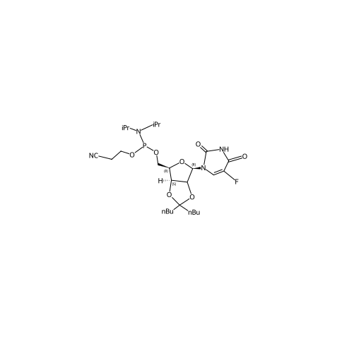 CCCCC1(CCCC)OC2[C@@H](O1)[C@@H](COP(OCCC#N)N(C(C)C)C(C)C)O[C@H]2n1cc(F)c(=O)[nH]c1=O